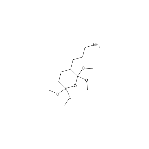 COC1(OC)O[Si](OC)(OC)CCC1CCCN